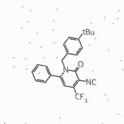 [C-]#[N+]c1c(C(F)(F)F)cc(-c2ccccc2)n(Cc2ccc(C(C)(C)C)cc2)c1=O